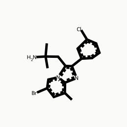 Cc1cc(Br)cn2c(CC(C)(C)N)c(-c3cccc(Cl)c3)nc12